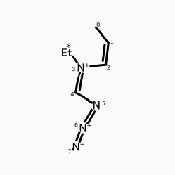 C/C=C\[N+](=C/N=[N+]=[N-])CC